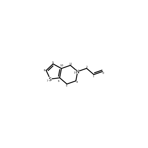 C=CCN1CCc2sccc2C1